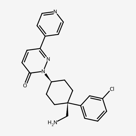 NC[C@]1(c2cccc(Cl)c2)CC[C@H](n2nc(-c3ccncc3)ccc2=O)CC1